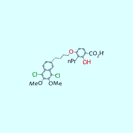 CCCc1c(OCCCCc2ccc3c(Cl)c(OC)c(OC)c(Cl)c3c2)ccc(C(=O)O)c1O